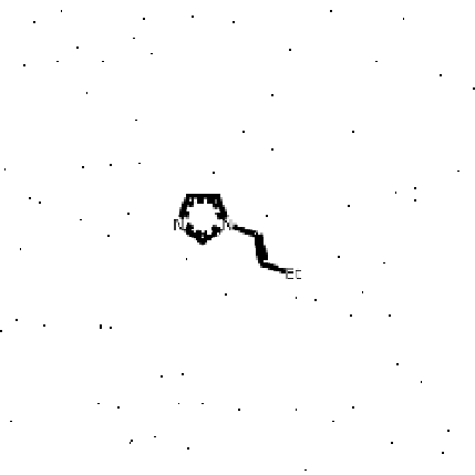 [CH2]CC=Cn1ccnc1